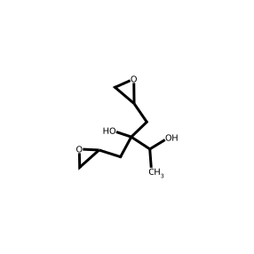 CC(O)C(O)(CC1CO1)CC1CO1